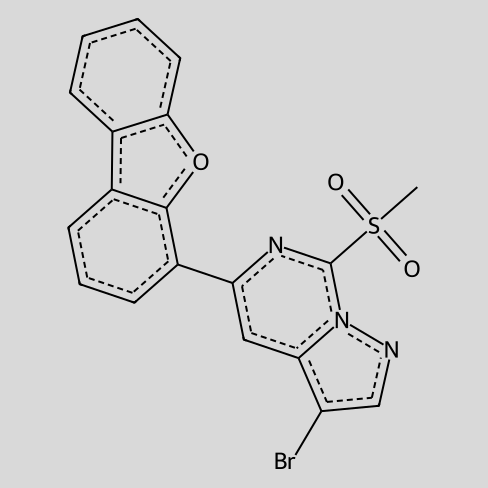 CS(=O)(=O)c1nc(-c2cccc3c2oc2ccccc23)cc2c(Br)cnn12